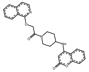 O=C(COc1nccc2ccccc12)N1CCC(Nc2cc(=O)oc3ccccc23)CC1